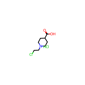 Cl.O=C(O)C1CCN(CCCl)CC1